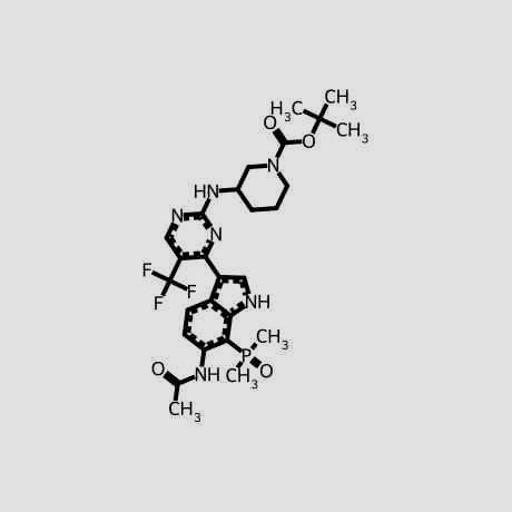 CC(=O)Nc1ccc2c(-c3nc(NC4CCCN(C(=O)OC(C)(C)C)C4)ncc3C(F)(F)F)c[nH]c2c1P(C)(C)=O